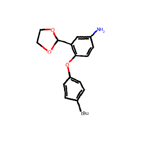 CC(C)(C)c1ccc(Oc2ccc(N)cc2C2OCCO2)cc1